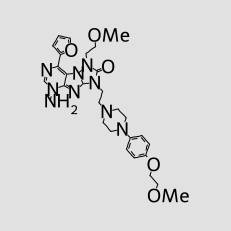 COCCOc1ccc(N2CCN(CCN3C(=O)N(CCOC)N4C5=C(c6ccco6)N=CN(N)C5=NC34)CC2)cc1